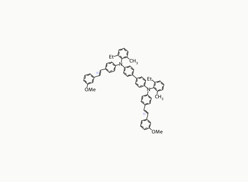 CCc1cccc(C)c1N(c1ccc(/C=C/c2cccc(OC)c2)cc1)c1ccc(-c2ccc(N(c3ccc(/C=C/c4cccc(OC)c4)cc3)c3c(C)cccc3CC)cc2)cc1